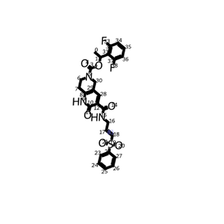 CC(OC(=O)N1CCc2[nH]c(=O)c(C(=O)NC/C=C/S(=O)(=O)c3ccccc3)cc2C1)c1c(F)cccc1F